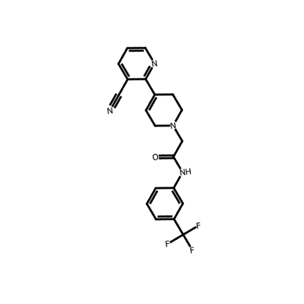 N#Cc1cccnc1C1=CCN(CC(=O)Nc2cccc(C(F)(F)F)c2)CC1